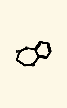 c1ccc2c(c1)OCCNS2